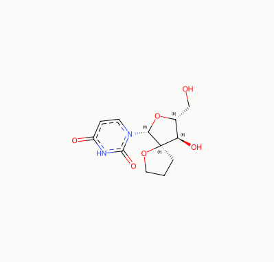 O=c1ccn([C@@H]2O[C@H](CO)[C@@H](O)[C@]23CCCO3)c(=O)[nH]1